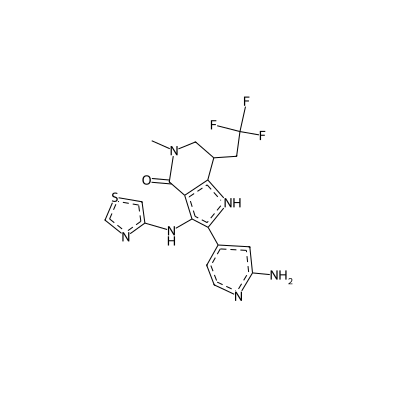 CN1CC(CC(F)(F)F)c2[nH]c(-c3ccnc(N)c3)c(Nc3cscn3)c2C1=O